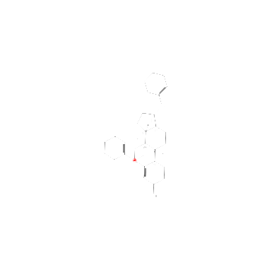 C[C@]12CC[C@@H]3[C@@H](CCC4=CC(O)CC[C@@]43COC3=CCCCC3)[C@@H]1CCC2OC1=CCCCC1